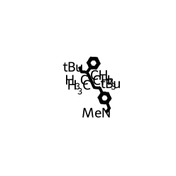 CNCc1ccc(C(CC(C)(C)C(C)(C)C(CC(C)(C)C)c2ccccc2)C(C)(C)C)cc1